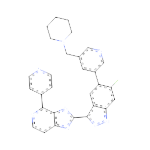 Fc1cc2[nH]nc(-c3nc4c(-c5ccncc5)nccc4[nH]3)c2cc1-c1cncc(CN2CCCCC2)c1